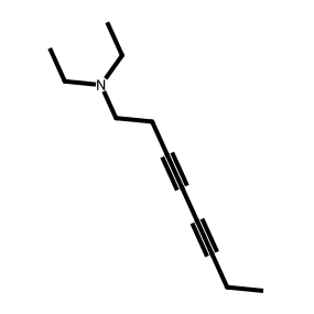 CCC#CC#CCCN(CC)CC